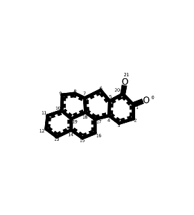 O=c1ccc2c(cc3ccc4cccc5ccc2c3c45)c1=O